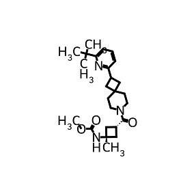 COC(=O)N[C@]1(C)C[C@H](C(=O)N2CCC3(CC2)CC(c2cccc(C(C)(C)C)n2)C3)C1